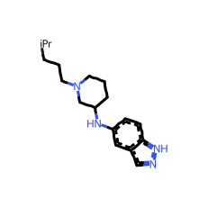 CC(C)CCCN1CCCC(Nc2ccc3[nH]ncc3c2)C1